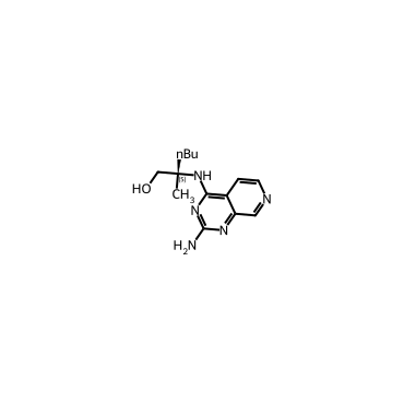 CCCC[C@@](C)(CO)Nc1nc(N)nc2cnccc12